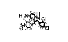 CC(=O)N1CCN(CC2=C(c3ccc(Cl)cc3Cl)NC3C=CC(N)=CN23)CC1